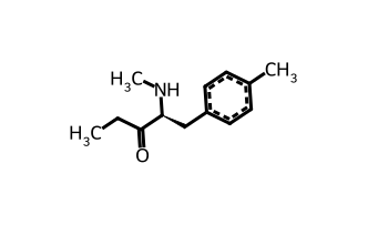 CCC(=O)[C@H](Cc1ccc(C)cc1)NC